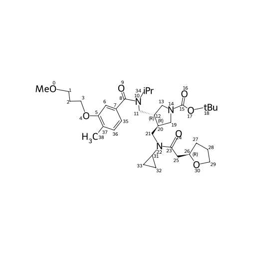 COCCCOc1cc(C(=O)N(C[C@@H]2CN(C(=O)OC(C)(C)C)C[C@H]2CN(C(=O)C[C@H]2CCCO2)C2CC2)C(C)C)ccc1C